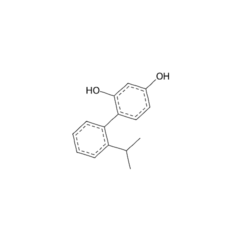 CC(C)c1ccccc1-c1ccc(O)cc1O